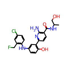 CC(CO)NC(=O)c1ccc(-c2cc(Nc3ccc(Cl)cc3CF)ccc2O)nc1N